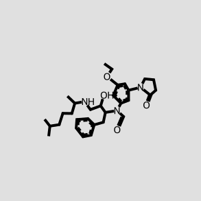 CCOc1cc(N2CCCC2=O)cc(N(C=O)C(Cc2ccccc2)C(O)CNC(C)CCCC(C)C)c1